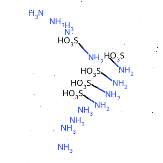 N.N.N.N.N.N.N.NS(=O)(=O)O.NS(=O)(=O)O.NS(=O)(=O)O.NS(=O)(=O)O.NS(=O)(=O)O